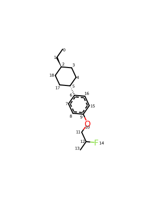 CC[C@H]1CC[C@H](c2ccc(OCC(C)F)cc2)CC1